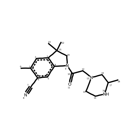 Cc1cc2c(cc1C#N)N(C(=O)CN1CCNC(C)C1)CC2(C)C